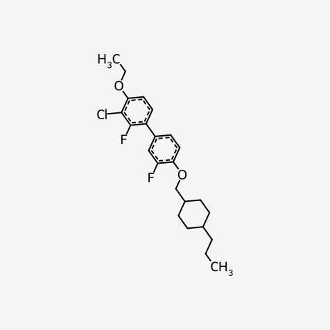 CCCC1CCC(COc2ccc(-c3ccc(OCC)c(Cl)c3F)cc2F)CC1